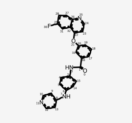 O=C(Nc1ccc(Nc2ccncc2)cc1)c1cccc(Oc2ccnc3ccc(F)cc23)c1